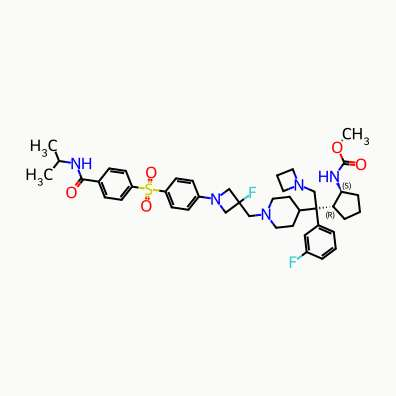 COC(=O)N[C@H]1CCC[C@@H]1C(CN1CCC1)(c1cccc(F)c1)C1CCN(CC2(F)CN(c3ccc(S(=O)(=O)c4ccc(C(=O)NC(C)C)cc4)cc3)C2)CC1